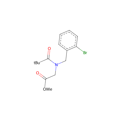 COC(=O)CN(Cc1ccccc1Br)C(=O)C(C)(C)C